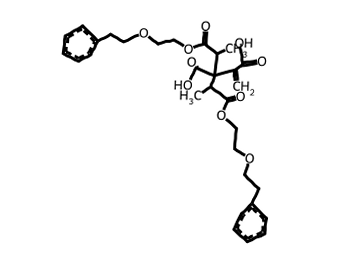 C=C(C(=O)O)C(C(=O)O)(C(C)C(=O)OCCOCCc1ccccc1)C(C)C(=O)OCCOCCc1ccccc1